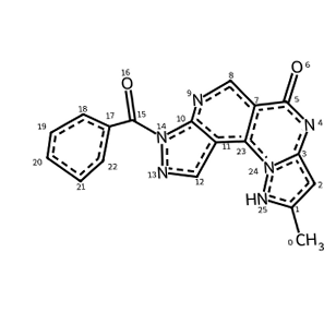 Cc1cc2nc(=O)c3cnc4c(cnn4C(=O)c4ccccc4)c3n2[nH]1